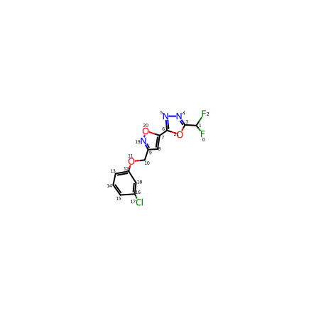 FC(F)c1nnc(-c2cc(COc3cccc(Cl)c3)no2)o1